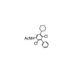 CC(=O)Nc1[c]c(C2CCCCC2)c(Cl)c(-c2ccccc2)c1Cl